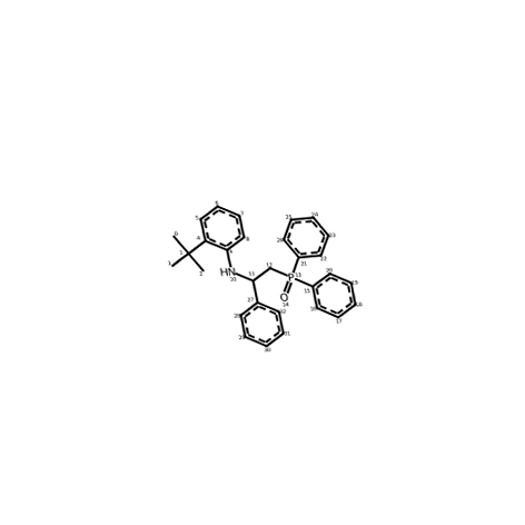 CC(C)(C)c1ccccc1NC(CP(=O)(c1ccccc1)c1ccccc1)c1ccccc1